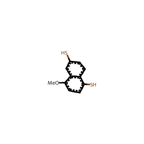 COc1ccc(S)c2ccc(S)cc12